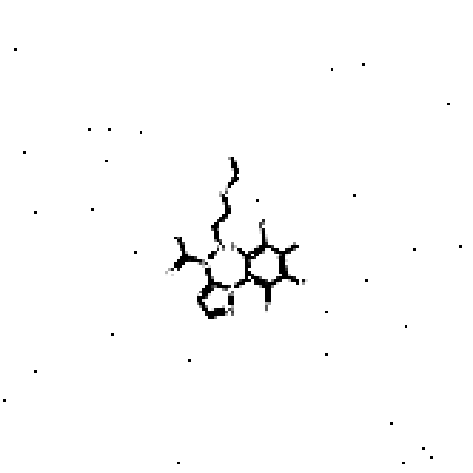 CCOCCON(C(C)=O)c1ccnn1-c1c(F)c(F)c(F)c(F)c1F